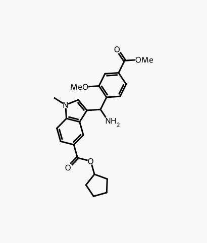 COC(=O)c1ccc(C(N)c2cn(C)c3ccc(C(=O)OC4CCCC4)cc23)c(OC)c1